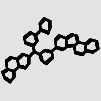 c1ccc(-c2cccc(N(c3cccc(-c4ccc5ccc6c7ccccc7ccc6c5c4)c3)c3ccc4c(ccc5ccccc54)c3)c2)cc1